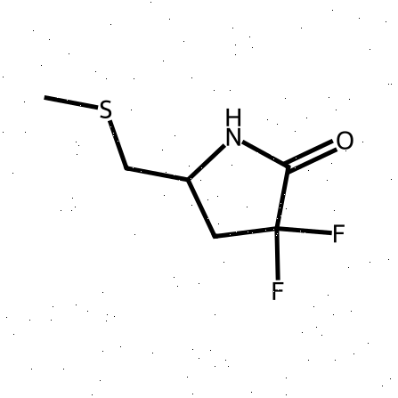 CSCC1CC(F)(F)C(=O)N1